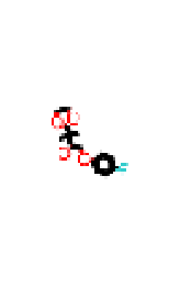 CC(C)(C(=O)COc1ccc(F)cc1)C1OCCO1